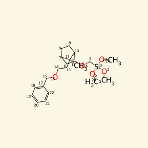 CO[Si](COC1CC2CCC1C2(C)CCOCc1ccccc1)(OC)OC